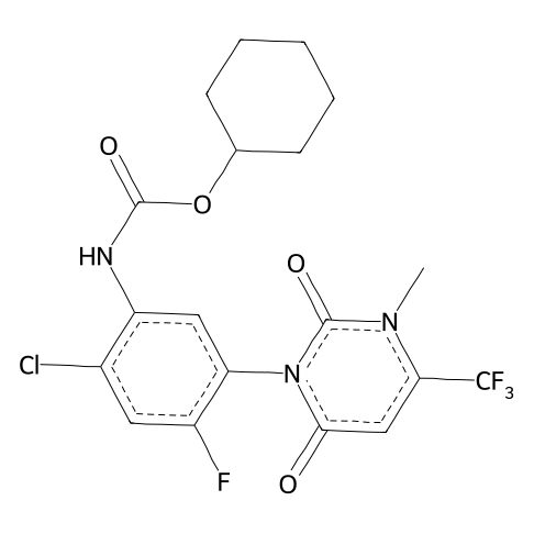 Cn1c(C(F)(F)F)cc(=O)n(-c2cc(NC(=O)OC3CCCCC3)c(Cl)cc2F)c1=O